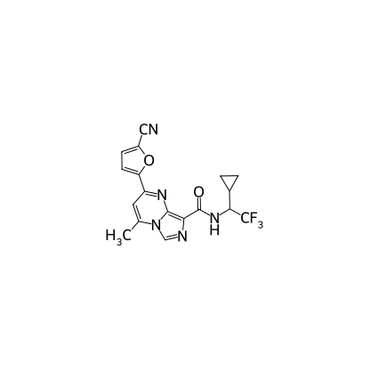 Cc1cc(-c2ccc(C#N)o2)nc2c(C(=O)NC(C3CC3)C(F)(F)F)ncn12